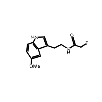 COc1ccc2[nH]cc(CCNC(=O)CF)c2c1